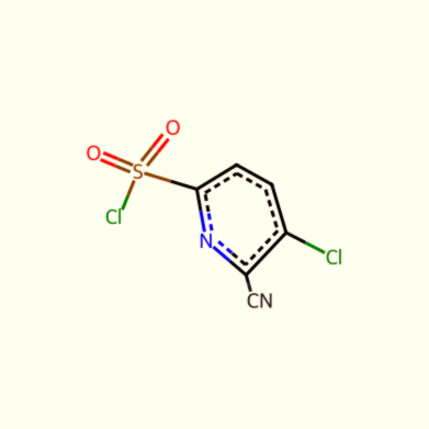 N#Cc1nc(S(=O)(=O)Cl)ccc1Cl